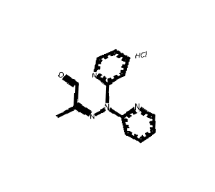 CC(C=O)=NN(c1ccccn1)c1ccccn1.Cl